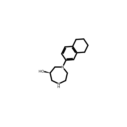 O[C@@H]1CNCCN(c2ccc3c(c2)CCCC3)C1